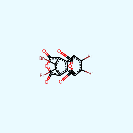 O=c1oc(=O)c2c(Br)c(Br)c1c1c3c(Br)c(Br)c(c(=O)oc3=O)c21